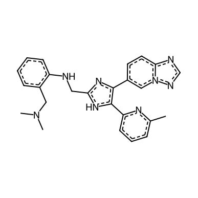 Cc1cccc(-c2[nH]c(CNc3ccccc3CN(C)C)nc2-c2ccc3ncnn3c2)n1